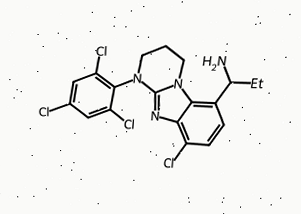 CCC(N)c1ccc(Cl)c2nc3n(c12)CCCN3c1c(Cl)cc(Cl)cc1Cl